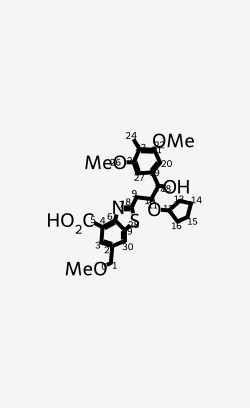 COCc1cc(C(=O)O)c2nc(CC(OC3CCCC3)C(O)c3cc(OC)c(C)c(OC)c3)sc2c1